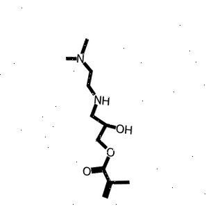 C=C(C)C(=O)OCC(O)CNCCN(C)C